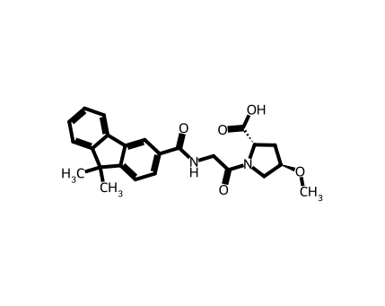 CO[C@@H]1C[C@@H](C(=O)O)N(C(=O)CNC(=O)c2ccc3c(c2)-c2ccccc2C3(C)C)C1